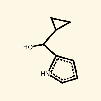 OC(c1ccc[nH]1)C1CC1